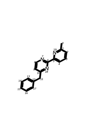 Cc1cccc(-c2nccc(Cc3ccccc3)n2)n1